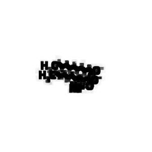 CCCCCCCCCCC(=O)[O-].CCCCCCCCCCC(=O)[O-].[Na+].[Na+]